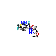 C#C[C@H](C)Oc1cnc(C(=O)Nc2cc(F)c(F)c([C@@]3(C)N=C(N)S[C@](C)(C(F)F)C3C)c2)c(C)c1